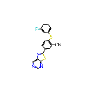 N#Cc1cc(-c2nc3cncnc3s2)ccc1Sc1cccc(F)c1